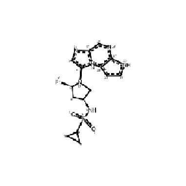 CC[C@@H]1C[C@H](NS(=O)(=O)C2CC2)CN1c1cnc2cnc3[nH]ccc3n12